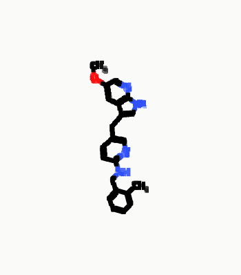 COc1cnc2[nH]cc(Cc3ccc(NCc4ccccc4C)nc3)c2c1